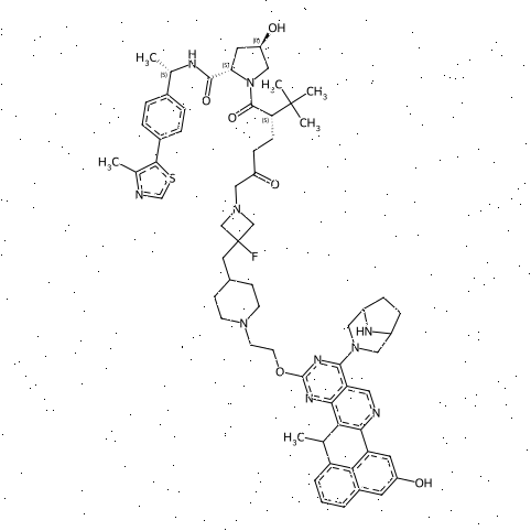 Cc1ncsc1-c1ccc([C@H](C)NC(=O)[C@@H]2C[C@@H](O)CN2C(=O)[C@@H](CCC(=O)CN2CC(F)(CC3CCN(CCOc4nc(N5CC6CCC(C5)N6)c5cnc6c(c5n4)C(C)c4cccc5cc(O)cc-6c45)CC3)C2)C(C)(C)C)cc1